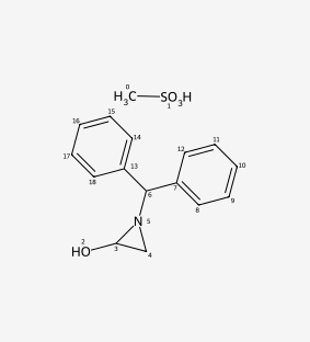 CS(=O)(=O)O.OC1CN1C(c1ccccc1)c1ccccc1